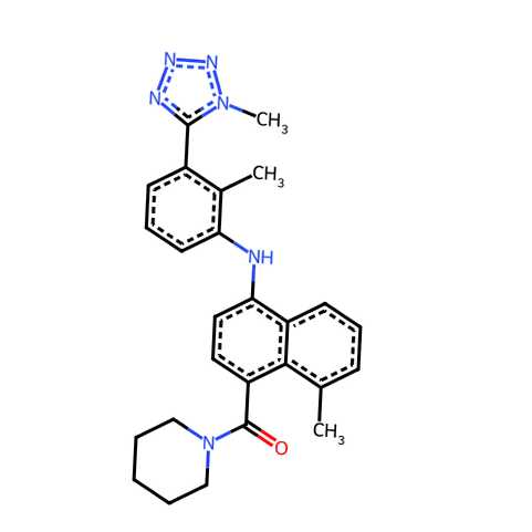 Cc1c(Nc2ccc(C(=O)N3CCCCC3)c3c(C)cccc23)cccc1-c1nnnn1C